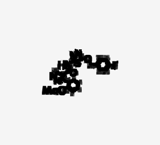 COc1ccccc1-n1nncc1C(=O)Nc1nnc(OCc2ccc(F)cc2)s1